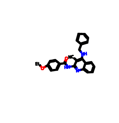 CCOc1ccc(C(=O)Nc2nc3ccccc3c(NCc3ccccc3)c2C#N)cc1